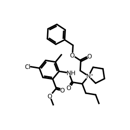 CCCC(C(=O)Nc1c(C)cc(Cl)cc1C(=O)OC)[N+]1(CC(=O)OCc2ccccc2)CCCC1